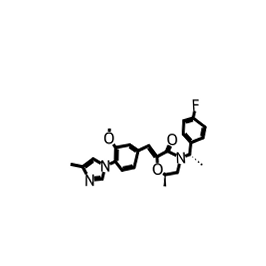 COc1cc(/C=C2\O[C@H](C)CN([C@@H](C)c3ccc(F)cc3)C2=O)ccc1-n1cnc(C)c1